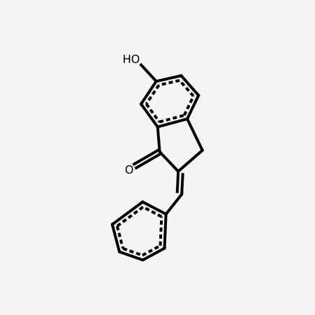 O=C1C(=Cc2ccccc2)Cc2ccc(O)cc21